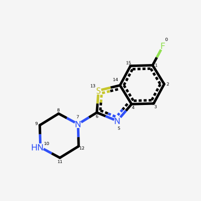 Fc1ccc2nc(N3CCNCC3)sc2c1